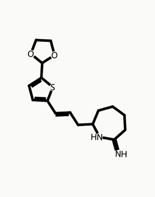 N=C1CCCCC(CC=Cc2ccc(C3OCCO3)s2)N1